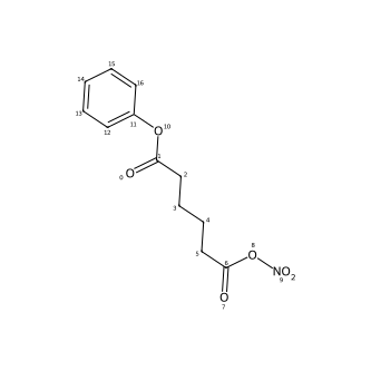 O=C(CCCCC(=O)O[N+](=O)[O-])Oc1ccccc1